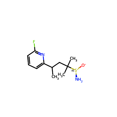 CC(CC(C)(C)[S@+](N)[O-])c1cccc(F)n1